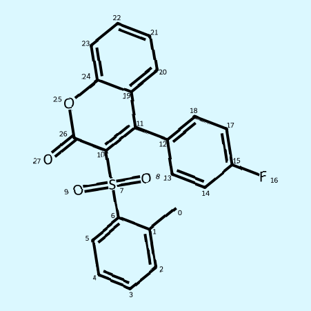 Cc1ccccc1S(=O)(=O)c1c(-c2ccc(F)cc2)c2ccccc2oc1=O